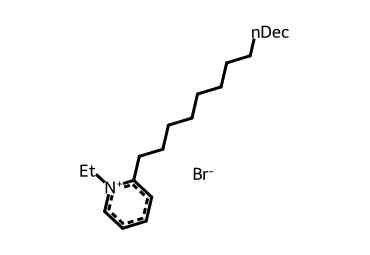 CCCCCCCCCCCCCCCCCCc1cccc[n+]1CC.[Br-]